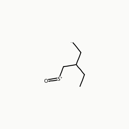 [CH2]CC(CC)C[S+]=O